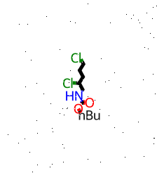 CCCCOC(=O)NCC(Cl)CCCCl